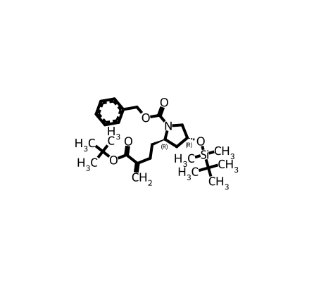 C=C(CC[C@@H]1C[C@@H](O[Si](C)(C)C(C)(C)C)CN1C(=O)OCc1ccccc1)C(=O)OC(C)(C)C